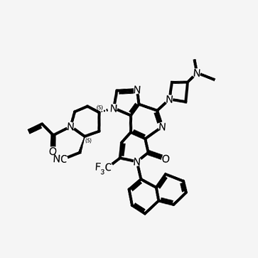 C=CC(=O)N1CC[C@H](n2cnc3c(N4CC(N(C)C)C4)nc4c(=O)n(-c5cccc6ccccc56)c(C(F)(F)F)cc4c32)C[C@H]1CC#N